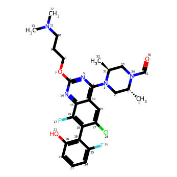 C[C@@H]1CN(c2nc(OCCCN(C)C)nc3c(F)c(-c4c(O)cccc4F)c(Cl)cc23)[C@@H](C)CN1C=O